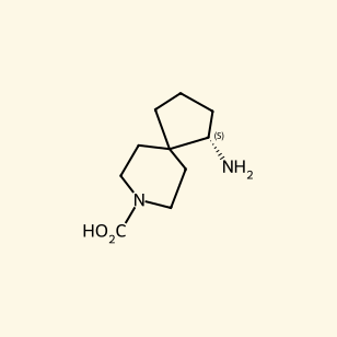 N[C@H]1CCCC12CCN(C(=O)O)CC2